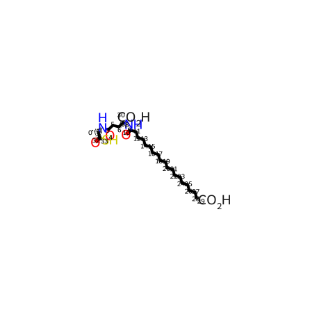 C[C@H](NC(=O)CC[C@H](NC(=O)CCCCCCCCCCCCCCCCCCC(=O)O)C(=O)O)C(=O)S